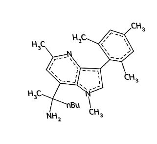 CCCCC(C)(N)c1cc(C)nc2c(-c3c(C)cc(C)cc3C)cn(C)c12